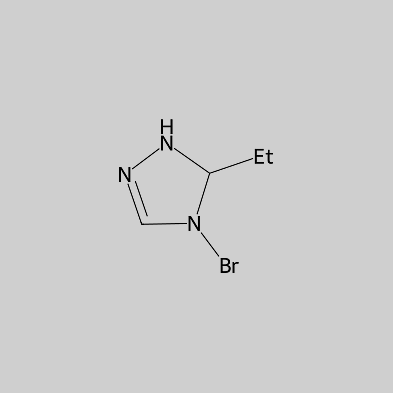 CCC1NN=CN1Br